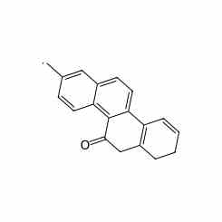 [CH2]c1ccc2c3c(ccc2c1)C1=C(CCC=C1)CC3=O